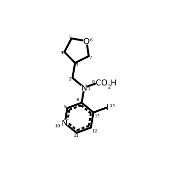 O=C(O)N(CC1CCOC1)c1cnccc1I